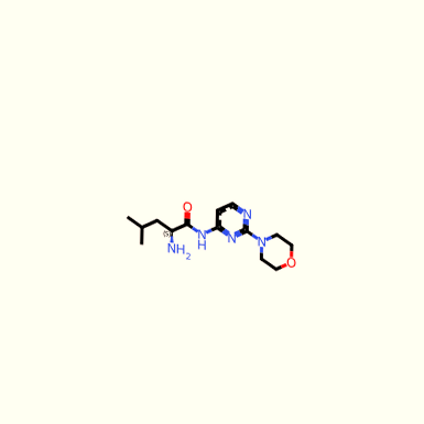 CC(C)C[C@H](N)C(=O)Nc1ccnc(N2CCOCC2)n1